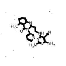 Cc1cccc2nc(CCNc3nc(N)nc(N)c3C#N)n(-c3cccnc3)c(=O)c12